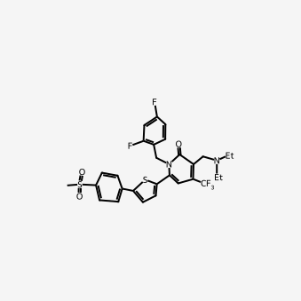 CCN(CC)Cc1c(C(F)(F)F)cc(-c2ccc(-c3ccc(S(C)(=O)=O)cc3)s2)n(Cc2ccc(F)cc2F)c1=O